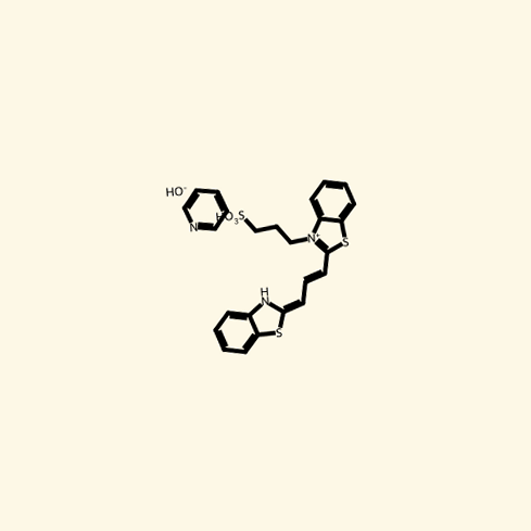 O=S(=O)(O)CCC[n+]1c(C=CC=C2Nc3ccccc3S2)sc2ccccc21.[OH-].c1ccncc1